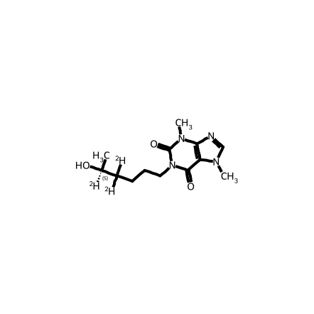 [2H]C([2H])(CCCn1c(=O)c2c(ncn2C)n(C)c1=O)[C@]([2H])(C)O